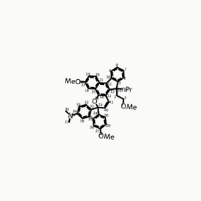 CCCC1(CCOC)c2ccccc2-c2c1c1c(c3cc(OC)ccc23)OC(c2ccc(OC)cc2)(c2ccc(N(C)C)cc2)C=C1